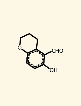 O=Cc1c(O)ccc2c1CCCO2